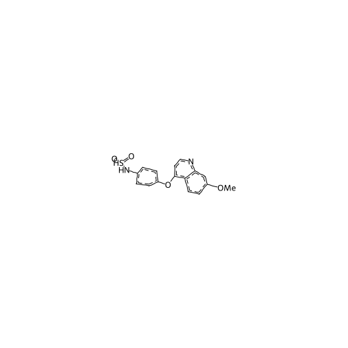 COc1ccc2c(Oc3ccc(N[SH](=O)=O)cc3)ccnc2c1